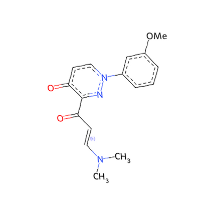 COc1cccc(-n2ccc(=O)c(C(=O)/C=C/N(C)C)n2)c1